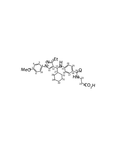 CCc1nn(-c2ccc(OC)cc2)cc1C(Nc1ccc(C(=O)NCCC(=O)O)cc1)C1CCCCC1